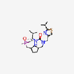 CC(C)c1nc(CN(CC2CCC(CP(C)(C)=O)C2)C(=O)N[C@H](C)C(C)C)cs1